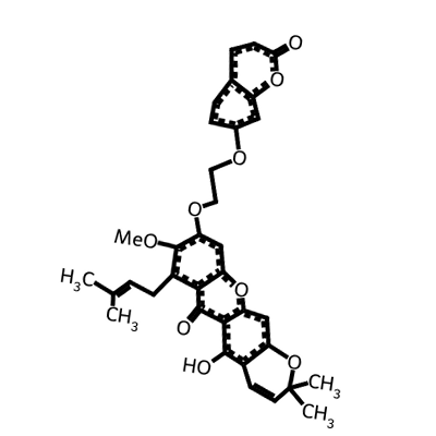 COc1c(OCCOc2ccc3ccc(=O)oc3c2)cc2oc3cc4c(c(O)c3c(=O)c2c1CC=C(C)C)C=CC(C)(C)O4